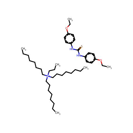 CCCCCCCC[N+](CCC)(CCCCCCCC)CCCCCCCC.CCOc1ccc(NC(=S)Nc2ccc(OCC)cc2)cc1